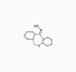 O/N=C1\c2ccccc2CSc2ccccc21